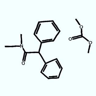 CN(C)C(=O)C(c1ccccc1)c1ccccc1.COC(=O)OC